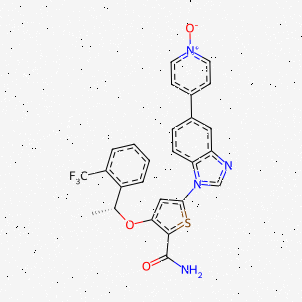 C[C@@H](Oc1cc(-n2cnc3cc(-c4cc[n+]([O-])cc4)ccc32)sc1C(N)=O)c1ccccc1C(F)(F)F